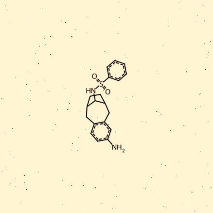 Nc1ccc2c(c1)CC1CCC(C2)C1NS(=O)(=O)c1ccccc1